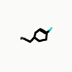 CC(C)CC1CC=C(F)CC1